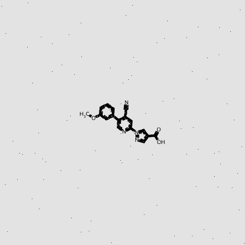 COc1cccc(-c2cnc(-n3cc(C(=O)O)cn3)cc2C#N)c1